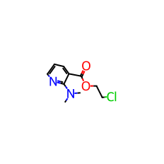 CN(C)c1ncccc1C(=O)OCCCl